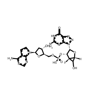 Nc1nc2c(nnn2[C@@H]2O[C@@H]3C(O)[C@]3(F)[C@@H]2OP(=O)(S)OC[C@H]2O[C@@H](n3ccc4c(N)ncnc43)C[C@@H]2O)c(=O)[nH]1